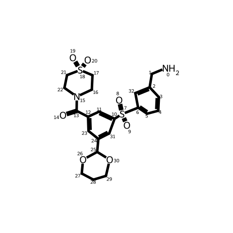 NCc1cccc(S(=O)(=O)c2cc(C(=O)N3CCS(=O)(=O)CC3)cc(C3OCCCO3)c2)c1